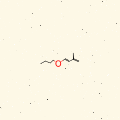 C=C(C)C=COCCCC